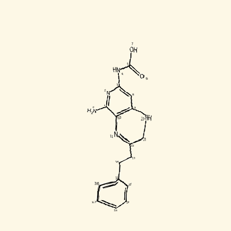 Nc1nc(NC(=O)O)cc2c1N=C(CCc1ccccc1)CN2